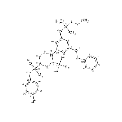 CCCC(C)(C)Oc1cc(OCc2ccccc2)cc(N2CCN(S(=O)(=O)Cc3ccc(F)cc3)CC2C(F)(F)F)n1